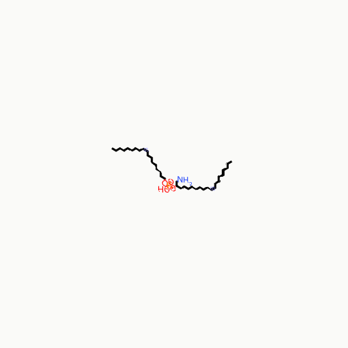 CCCCCCCC/C=C\CCCCCCCCOP(=O)(O)OC(CN)CCCCCCCC/C=C\CCCCCCCC